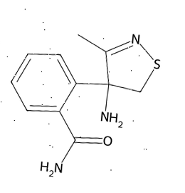 CC1=NSCC1(N)c1ccccc1C(N)=O